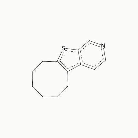 c1cc2c3c(sc2cn1)CCCCCC3